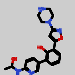 CC(O)Nc1ccc(-c2cccc(-c3cc(N4CCNCC4)no3)c2O)cn1